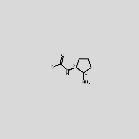 N[C@@H]1CCC[C@@H]1NC(=O)O